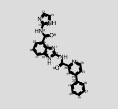 O=C(Nc1nc2c(C(=O)Nc3ncc[nH]3)cccc2[nH]1)c1cc(-c2ccccc2)ccn1